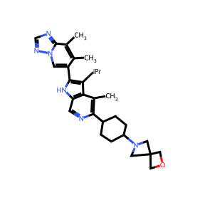 Cc1c(-c2[nH]c3cnc(C4CCC(N5CC6(COC6)C5)CC4)c(C)c3c2C(C)C)cn2ncnc2c1C